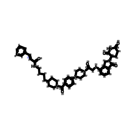 O=C(/C=C/c1cccnc1)NCCCCC1CCN(C(=O)c2ccc(N3CCN(C(=O)CSc4cccc5c4CN(C4CCC(=O)NC4=O)C5=O)CC3)cc2)CC1